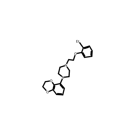 CCc1ccccc1OCCN1CCN(c2cccc3c2OCCO3)CC1